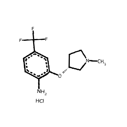 CN1CC[C@@H](Oc2cc(C(F)(F)F)ccc2N)C1.Cl